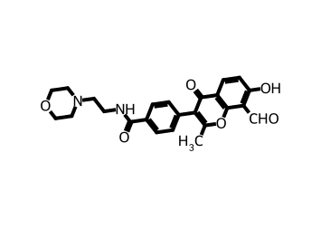 Cc1oc2c(C=O)c(O)ccc2c(=O)c1-c1ccc(C(=O)NCCN2CCOCC2)cc1